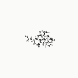 C=CC(=O)N1CCN2c3nc(=O)n(-c4c(C)ccnc4C(C)C)c4nc(-c5c(C)ccc6[nH]ncc56)c(Cl)c(c34)NCCC2C1